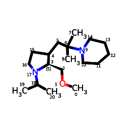 COC[C@@H]1C(CC(C)(C)N2CCCCC2)CCN1C(C)C